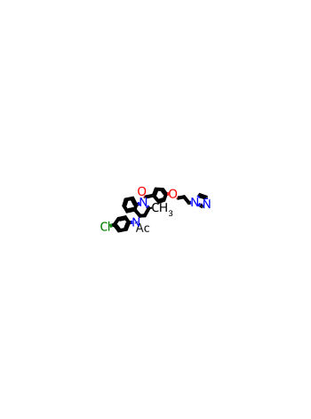 CC(=O)N(c1ccc(Cl)cc1)[C@@H]1C[C@H](C)N(C(=O)c2ccc(OCCCn3ccnc3)cc2)c2ccccc21